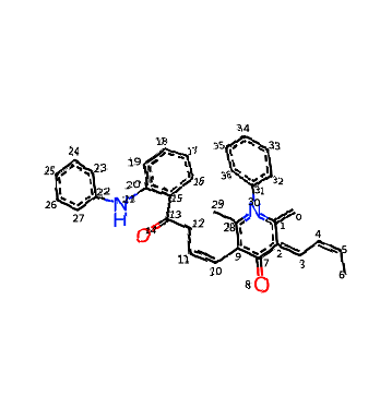 C=c1/c(=C\C=C/C)c(=O)c(/C=C\CC(=O)c2ccccc2Nc2ccccc2)c(C)n1-c1ccccc1